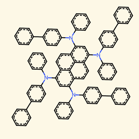 c1ccc(-c2ccc(N(c3ccccc3)c3cc(N(c4ccccc4)c4ccc(-c5ccccc5)cc4)c4ccc5c(N(c6ccccc6)c6ccc(-c7ccccc7)cc6)cc(N(c6ccccc6)c6ccc(-c7ccccc7)cc6)c6ccc3c4c65)cc2)cc1